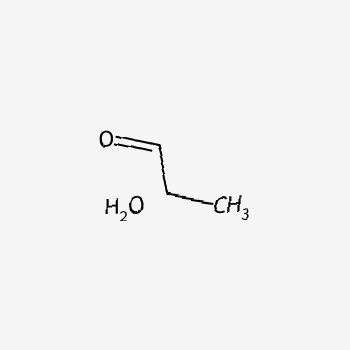 CCC=O.O